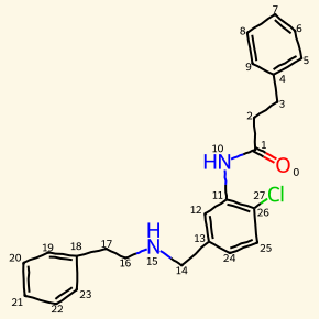 O=C(CCc1ccccc1)Nc1cc(CNCCc2ccccc2)ccc1Cl